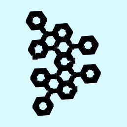 c1ccc(N2c3ccncc3B3c4cc5c(nc4N(c4ccccc4)c4cccc2c43)N(c2ccccc2)c2nccc3c2B5c2ccccc2N3c2ccccc2)cc1